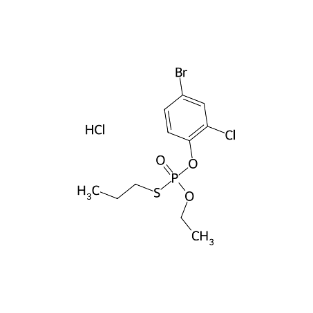 CCCSP(=O)(OCC)Oc1ccc(Br)cc1Cl.Cl